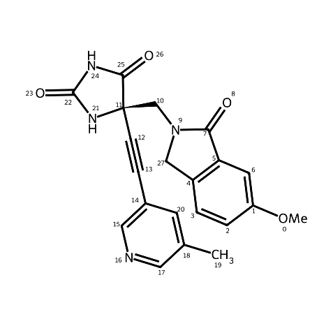 COc1ccc2c(c1)C(=O)N(C[C@@]1(C#Cc3cncc(C)c3)NC(=O)NC1=O)C2